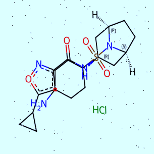 Cl.NC1CCC(S(=O)(=O)N2[C@@H]3CC[C@H]2C[C@@H](NC(=O)c2cc(C4CC4)on2)C3)CC1